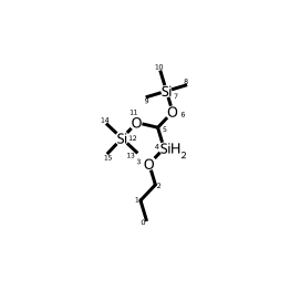 CCCO[SiH2]C(O[Si](C)(C)C)O[Si](C)(C)C